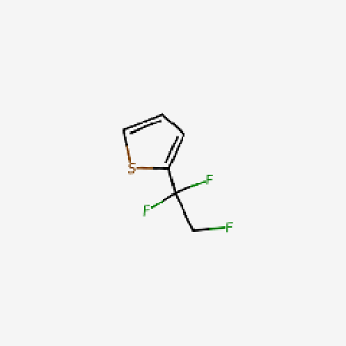 FCC(F)(F)c1cccs1